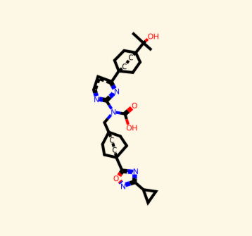 CC(C)(O)C12CCC(c3ccnc(N(CC45CCC(c6nc(C7CC7)no6)(CC4)CC5)C(=O)O)n3)(CC1)CC2